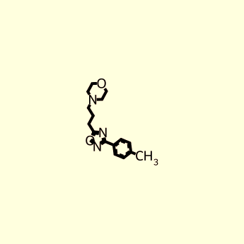 Cc1ccc(-c2noc(CCCN3CCOCC3)n2)cc1